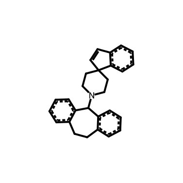 C1=CC2(CCN(C3c4ccccc4CCc4ccccc43)CC2)c2ccccc21